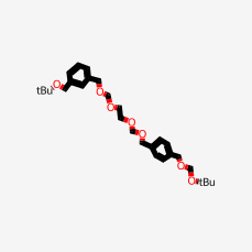 CC(C)(C)OCOCc1ccc(COCOCCOCOCc2cccc(COC(C)(C)C)c2)cc1